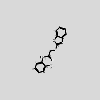 O=C(CSc1nc2ccccc2o1)Nc1ccccc1C(F)(F)F